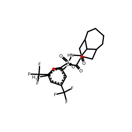 CCCCOC(=O)N1CC2CCCCC(C1)C2C(=O)NS(=O)(=O)c1cc(C(F)(F)F)cc(C(F)(F)F)c1